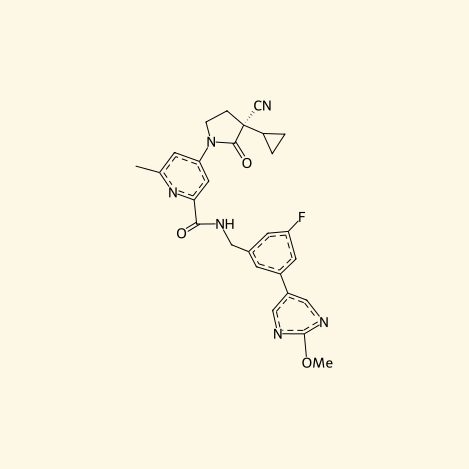 COc1ncc(-c2cc(F)cc(CNC(=O)c3cc(N4CC[C@@](C#N)(C5CC5)C4=O)cc(C)n3)c2)cn1